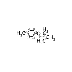 Cc1ccc(OCC(C)(C)C)cc1